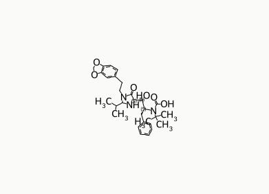 CC(C)C1N[C@@H]([C@@H](O)[C@H](Cc2ccccc2)N(C(=O)O)C(C)(C)C)C(=O)N1CCc1ccc2c(c1)OCO2